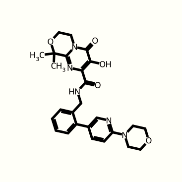 CC1(C)OCCn2c1nc(C(=O)NCc1ccccc1-c1ccc(N3CCOCC3)nc1)c(O)c2=O